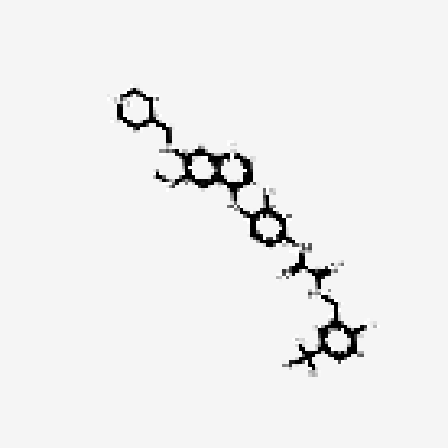 COc1cc2c(Oc3ccc(NC(=O)C(=O)NCc4cc(C(F)(F)F)ccc4F)cc3F)ccnc2cc1OCC1CCNCC1